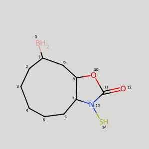 BC1CCCCCC2C(C1)OC(=O)N2S